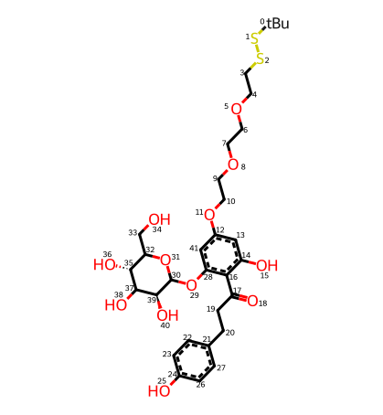 CC(C)(C)SSCCOCCOCCOc1cc(O)c(C(=O)CCc2ccc(O)cc2)c(OC2OC(CO)[C@@H](O)C(O)[C@@H]2O)c1